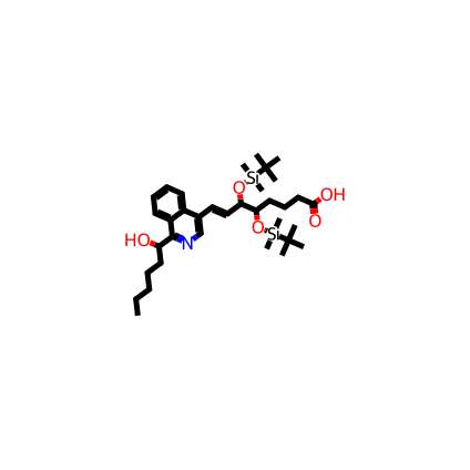 CCCCCC(O)c1ncc(/C=C/C(O[Si](C)(C)C(C)(C)C)C(CCCC(=O)O)O[Si](C)(C)C(C)(C)C)c2ccccc12